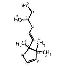 CC(C)CC(O)CC=C[C@@]1(C)CC=CC1(C)C